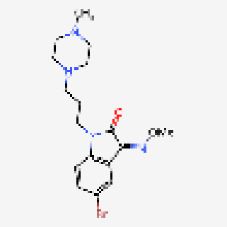 CON=C1C(=O)N(CCCN2CCN(C)CC2)c2ccc(Br)cc21